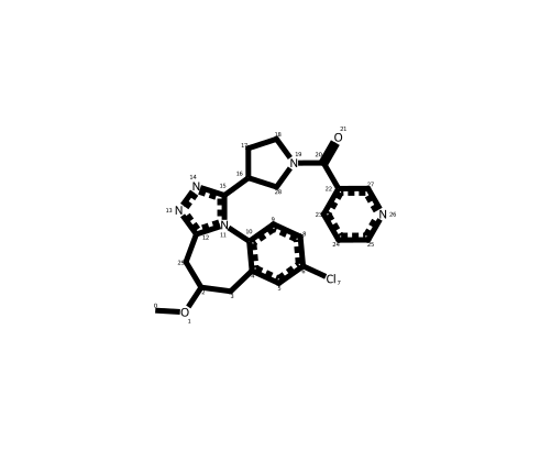 COC1Cc2cc(Cl)ccc2-n2c(nnc2C2CCN(C(=O)c3cccnc3)C2)C1